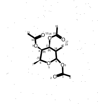 CC(=O)OC1O[C@@H](C)[C@@H](OC(C)=O)[C@@H](OC(C)=O)C1F